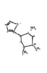 CC1CC(c2cccs2)CCN1C.N